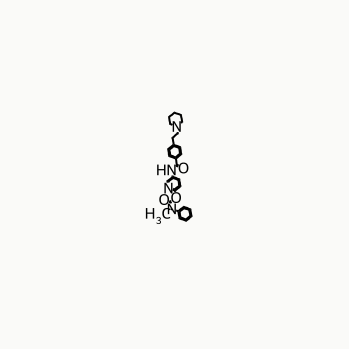 CN(C(=O)Oc1ccc(NC(=O)c2ccc(CCN3CCCCC3)cc2)cn1)c1ccccc1